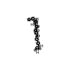 O=C1CCC(Nc2ccc(C3CCN(CC(=O)N4CCC5(CC4)CCN(c4cncc(Nc6ncc(Cl)c(-c7cccc(C8CCCC8)c7)n6)c4)C5=O)CC3)cc2)C(=O)N1